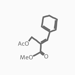 COC(=O)/C(=C/C1=CCCC=C1)COC(C)=O